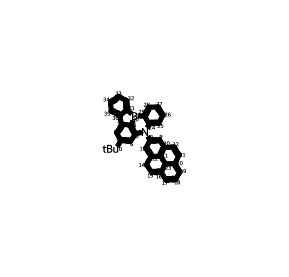 CC(C)(C)c1cc2c3c(c1)N(c1cc4c5c(c1)CC=C1C=CC=C(C=C4)C15)c1ccccc1B3c1ccccc1-2